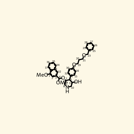 COc1cc(C(OC)OC2CNCC(O)C2c2ccc(OCCCOCc3ccccc3)cc2)cc2ccccc12